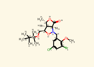 COc1c(Br)cc(Cl)cc1CN1O[C@@H](CO[Si](C)(C)C(C)(C)C)[C@H]2[C@H](C)OC(=O)[C@H]21